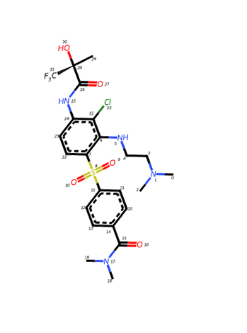 CN(C)CCNc1c(S(=O)(=O)c2ccc(C(=O)N(C)C)cc2)ccc(NC(=O)[C@@](C)(O)C(F)(F)F)c1Cl